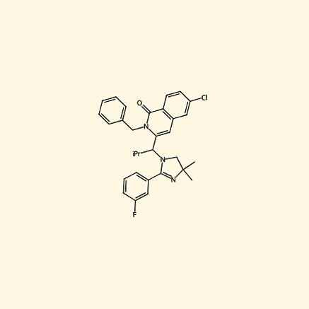 CC(C)C(c1cc2cc(Cl)ccc2c(=O)n1Cc1ccccc1)N1CC(C)(C)N=C1c1cccc(F)c1